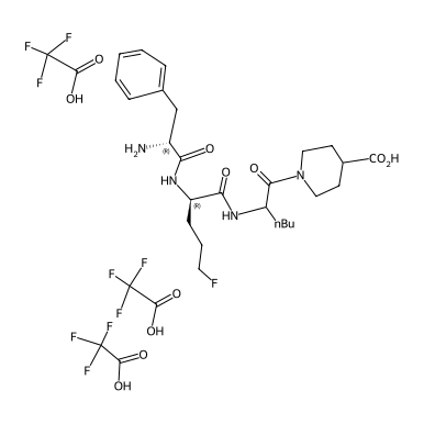 CCCCC(NC(=O)[C@@H](CCCF)NC(=O)[C@H](N)Cc1ccccc1)C(=O)N1CCC(C(=O)O)CC1.O=C(O)C(F)(F)F.O=C(O)C(F)(F)F.O=C(O)C(F)(F)F